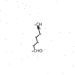 C#CCCCC[C]=O